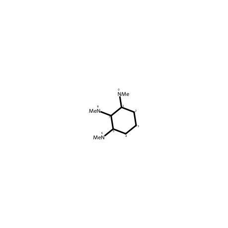 CNC1C[CH]CC(NC)C1NC